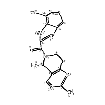 Cc1ncc2c(n1)CCN(C(=O)c1nc3cccc(Cl)c3[nH]1)C2C